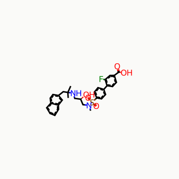 CN(C[C@H](O)CNC(C)(C)Cc1ccc2ccccc2c1)S(=O)(=O)c1ccc(-c2ccc(C(=O)O)cc2F)cc1